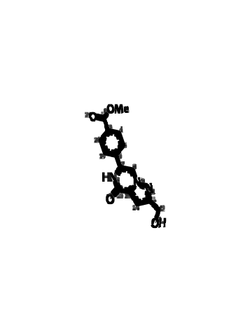 COC(=O)c1ccc(-c2cn3nc(CO)cc3c(=O)[nH]2)cc1